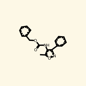 Cc1onc(-c2ccccc2)c1NC(=O)OCc1ccccc1